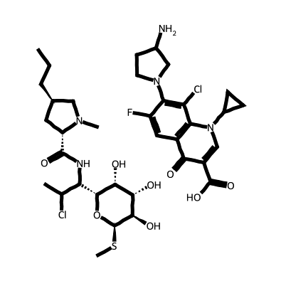 CCC[C@@H]1C[C@@H](C(=O)NC(C(C)Cl)[C@H]2O[C@H](SC)[C@H](O)[C@@H](O)[C@H]2O)N(C)C1.NC1CCN(c2c(F)cc3c(=O)c(C(=O)O)cn(C4CC4)c3c2Cl)C1